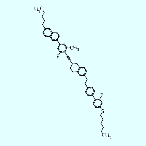 CCCCCCSc1ccc(-c2ccc(CCc3ccc4c(c3)CCC(C#Cc3c(C)cc(-c5ccc6cc(CCCCC)ccc6c5)cc3F)C4)cc2)c(F)c1